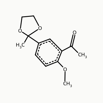 COc1ccc(C2(C)OCCO2)cc1C(C)=O